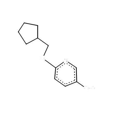 O=Cc1ccc(OCC2CCCC2)nc1